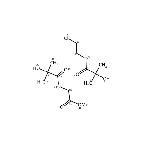 CC(C)(O)C(=O)OCCCl.COC(=O)COC(=O)C(C)(C)O